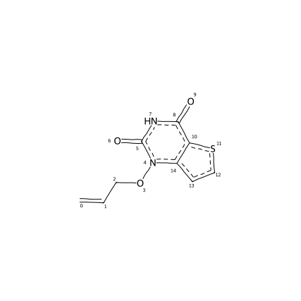 C=CCOn1c(=O)[nH]c(=O)c2sccc21